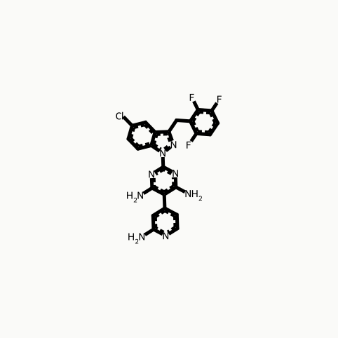 Nc1cc(-c2c(N)nc(-n3nc(Cc4c(F)ccc(F)c4F)c4cc(Cl)ccc43)nc2N)ccn1